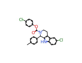 Cc1ccc(C2c3[nH]c4ccc(Cl)cc4c3CCN2C(=O)Oc2ccc(Cl)cc2)cc1